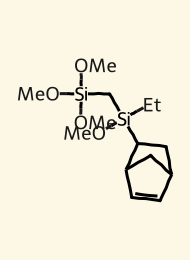 CC[Si](C[Si](OC)(OC)OC)(OC)C1CC2C=CC1C2